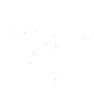 COc1ccc(NC(=O)N2CCC(CN3C(=O)c4ccccc4C3=O)CN3C(C2)C(c2ccc(Br)cc2)[C@H]3COC(c2ccccc2)(c2ccccc2)c2ccccc2)cc1